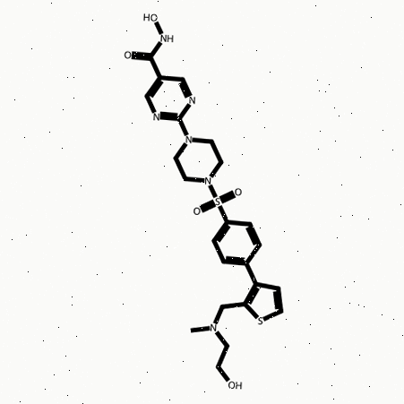 CN(CCO)Cc1sccc1-c1ccc(S(=O)(=O)N2CCN(c3ncc(C(=O)NO)cn3)CC2)cc1